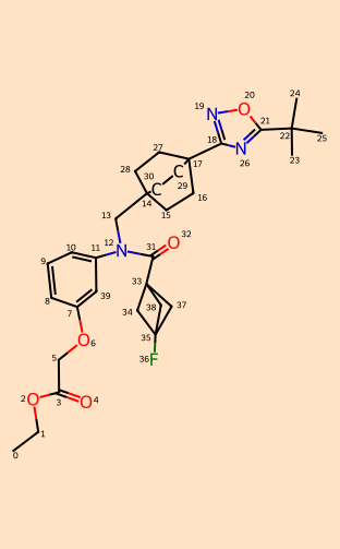 CCOC(=O)COc1cccc(N(CC23CCC(c4noc(C(C)(C)C)n4)(CC2)CC3)C(=O)C23CC(F)(C2)C3)c1